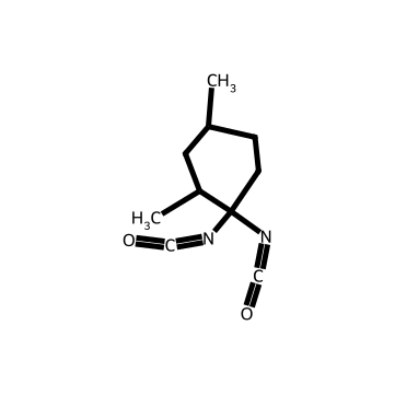 CC1CCC(N=C=O)(N=C=O)C(C)C1